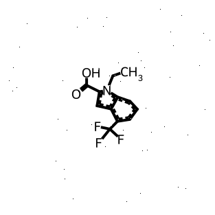 CCn1c(C(=O)O)cc2c(C(F)(F)F)cccc21